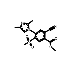 COC(=O)c1cc(S(C)(=O)=O)c(-n2cc(C)nc2C)cc1C#N